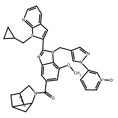 COc1cc(C(=O)N2CC3CC4CC2[C@H]43)cc2nc(-c3cc4cccnc4n3CC3CC3)n(Cc3cnn(-c4ccc[n+]([O-])c4)c3)c12